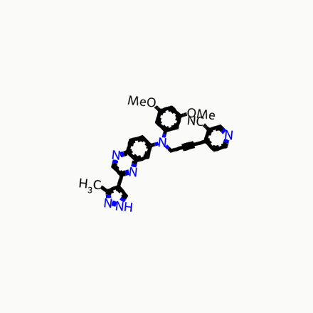 COc1cc(OC)cc(N(CC#Cc2ccncc2C#N)c2ccc3ncc(-c4c[nH]nc4C)nc3c2)c1